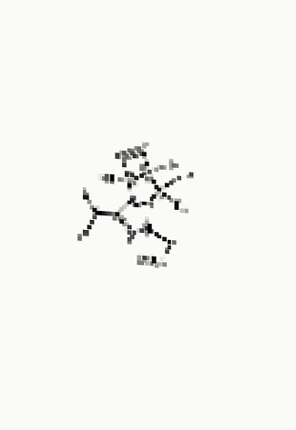 CCOC(=O)Cn1nc(C(F)F)c2c1C(F)(F)[C@@H]1C#C[C@H]21